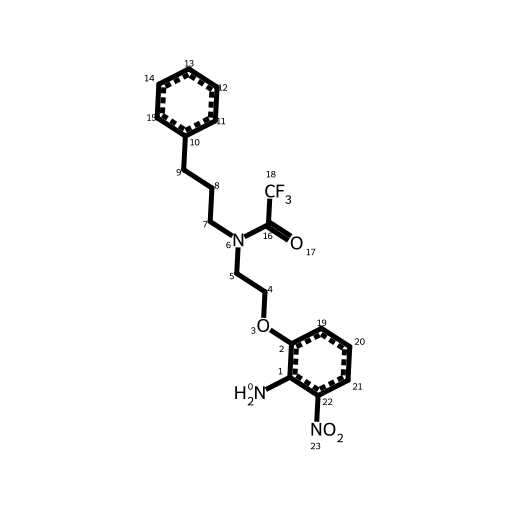 Nc1c(OCCN(CCCc2ccccc2)C(=O)C(F)(F)F)cccc1[N+](=O)[O-]